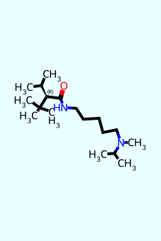 CC(C)[C@@H](C(=O)NCCCCCN(C)C(C)C)C(C)(C)C